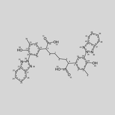 Cc1cc(C(CCCCC(C(=O)O)c2cc(C)c(O)c(-n3nc4ccccc4n3)c2)C(=O)O)cc(-n2nc3ccccc3n2)c1O